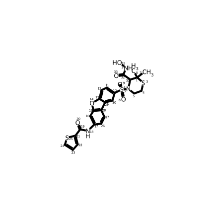 CC1(C)SCCN(S(=O)(=O)c2ccc3oc4cc(NC(=O)c5cccs5)ccc4c3c2)C1C(=O)NO